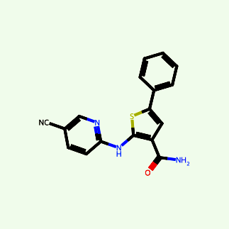 N#Cc1ccc(Nc2sc(-c3ccccc3)cc2C(N)=O)nc1